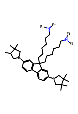 CCN(CC)CCCCCCC1(CCCCCCN(CC)CC)c2cc(B3CC(C)C(C)(C)C3)ccc2-c2ccc(B3CC(C)(C)C(C)(C)C3)cc21